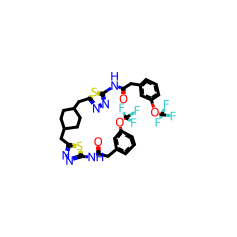 O=C(Cc1cccc(OC(F)(F)F)c1)Nc1nnc(CC2CCC(Cc3nnc(NC(=O)Cc4cccc(OC(F)(F)F)c4)s3)CC2)s1